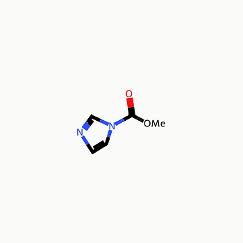 COC(=O)n1[c]ncc1